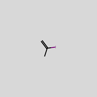 C=C(C)I